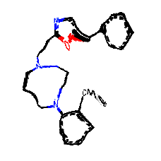 COc1ccccc1N1CCCN(Cc2ncc(-c3ccccc3)o2)CC1